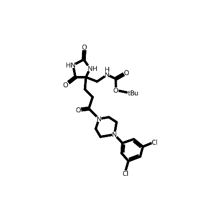 CC(C)(C)OC(=O)NCC1(CCC(=O)N2CCN(c3cc(Cl)cc(Cl)c3)CC2)NC(=O)NC1=O